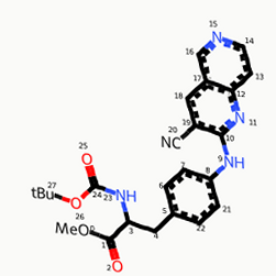 COC(=O)C(Cc1ccc(Nc2nc3ccncc3cc2C#N)cc1)NC(=O)OC(C)(C)C